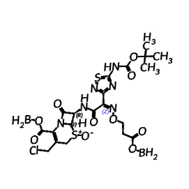 BOC(=O)CCO/N=C(\C(=O)N[C@@H]1C(=O)N2C(C(=O)OB)=C(CCl)C[S+]([O-])[C@H]12)c1nsc(NC(=O)OC(C)(C)C)n1